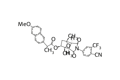 COc1ccc2cc([C@H](C)C(=O)O[C@H]3C[C@@]4(C)O[C@]3(C)[C@@H]3C(=O)N(c5ccc(C#N)c(C(F)(F)F)c5)C(=O)[C@@H]34)ccc2c1